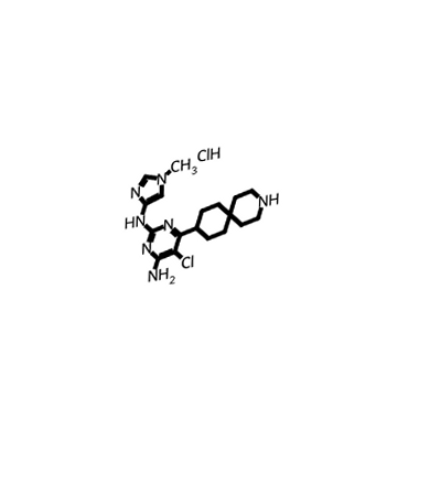 Cl.Cn1cnc(Nc2nc(N)c(Cl)c(C3CCC4(CCNCC4)CC3)n2)c1